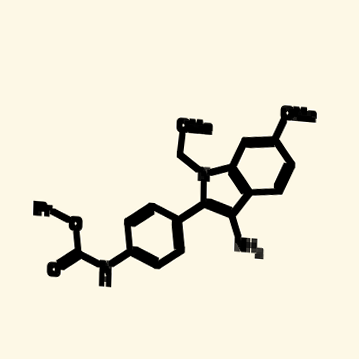 COCn1c(-c2ccc(NC(=O)OC(C)C)cc2)c(N)c2ccc(OC)cc21